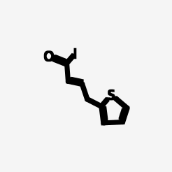 O=C(I)/C=C/Cc1cccs1